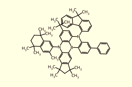 Cc1cc2c(cc1N1c3cc4c(cc3B3c5ccc(-c6ccccc6)cc5N(c5cccc6c5-c5ccccc5C6(C)C)c5cc(C(C)(C)C)cc1c53)C(C)(C)CC4(C)C)C(C)(C)CCC2(C)C